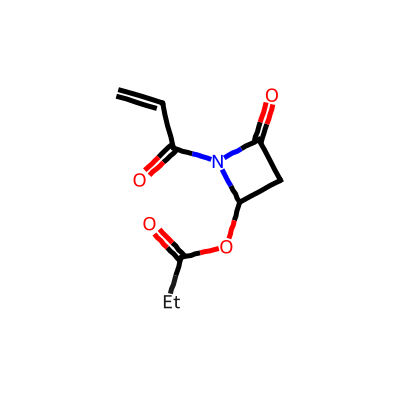 C=CC(=O)N1C(=O)CC1OC(=O)CC